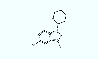 CCc1ccc2c(c1)c(F)nn2C1CCCCO1